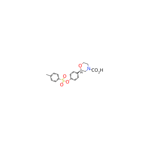 Cc1ccc(S(=O)(=O)Oc2ccc([C@@H]3CN(C(=O)O)CCO3)cc2)cc1